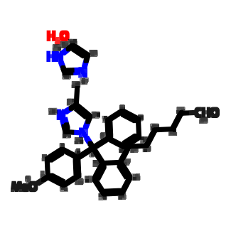 COc1ccc(C(c2ccccc2)(c2ccccc2CCCCCC=O)n2cnc(C)c2)cc1.O.c1c[nH]cn1